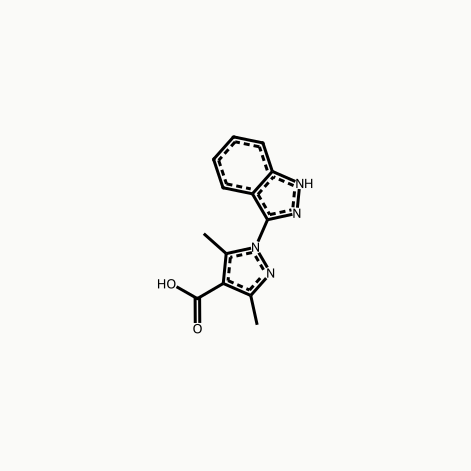 Cc1nn(-c2n[nH]c3ccccc23)c(C)c1C(=O)O